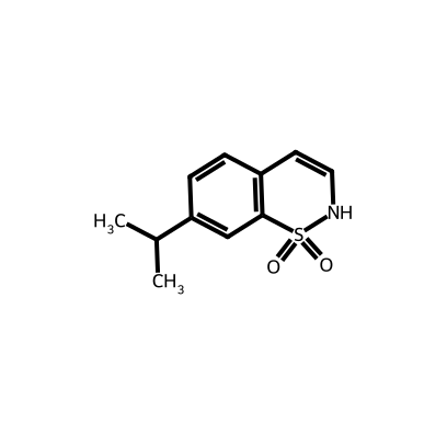 CC(C)c1ccc2c(c1)S(=O)(=O)NC=C2